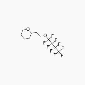 FC(F)(F)C(F)(F)C(F)(F)C(F)(F)OCCC1CCCCO1